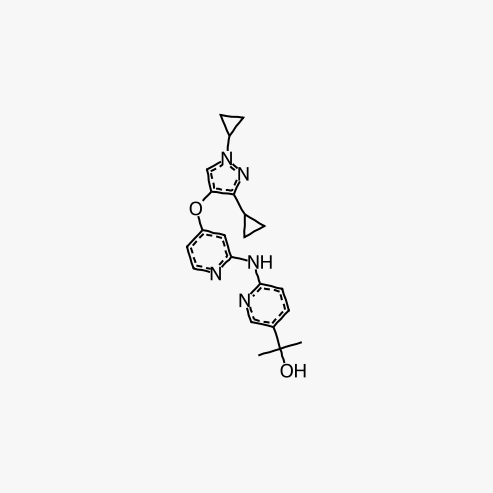 CC(C)(O)c1ccc(Nc2cc(Oc3cn(C4CC4)nc3C3CC3)ccn2)nc1